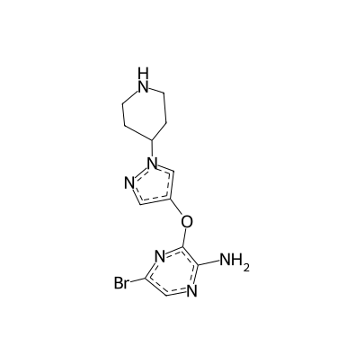 Nc1ncc(Br)nc1Oc1cnn(C2CCNCC2)c1